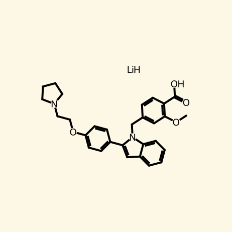 COc1cc(Cn2c(-c3ccc(OCCN4CCCC4)cc3)cc3ccccc32)ccc1C(=O)O.[LiH]